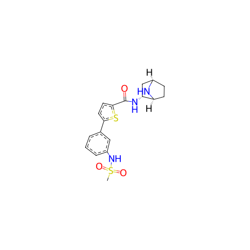 CS(=O)(=O)Nc1cccc(-c2ccc(C(=O)N[C@@H]3C[C@H]4CC[C@@H]3N4)s2)c1